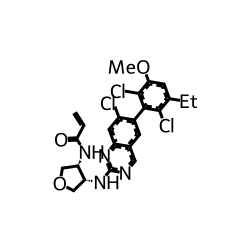 C=CC(=O)N[C@H]1COC[C@H]1Nc1ncc2cc(-c3c(Cl)c(CC)cc(OC)c3Cl)c(Cl)cc2n1